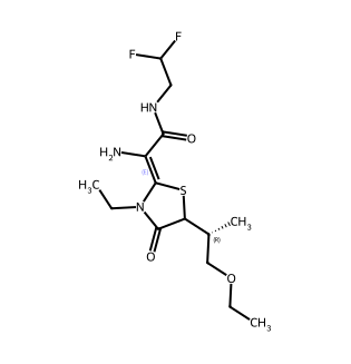 CCOC[C@@H](C)C1S/C(=C(/N)C(=O)NCC(F)F)N(CC)C1=O